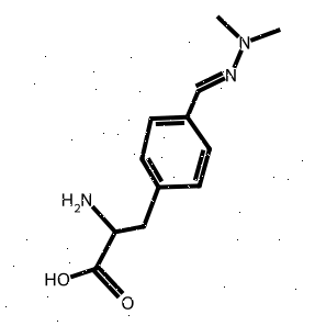 CN(C)/N=C/c1ccc(CC(N)C(=O)O)cc1